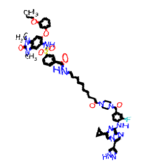 CCCOc1cccc(Oc2cc3c(cc2NS(=O)(=O)c2cccc(C(=O)NCCCCCCCCCC(=O)N4CCN(C(=O)c5ccc(Nc6nc(C7CC7)cn7c(-c8cn[nH]c8)cnc67)c(F)c5)CC4)c2)n(C)c(=O)n3C)c1